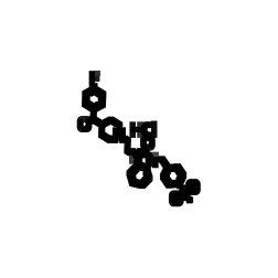 CS(=O)(=O)c1ccc(Cn2c(=O)n(CCN3CCC(C(=O)c4ccc(F)cc4)CC3)c3ccccc32)cc1.Cl